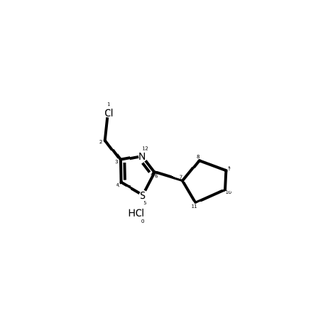 Cl.ClCc1csc(C2CCCC2)n1